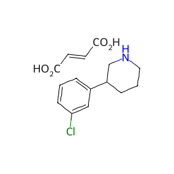 Clc1cccc(C2CCCNC2)c1.O=C(O)/C=C/C(=O)O